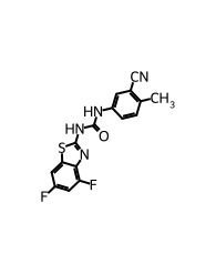 Cc1ccc(NC(=O)Nc2nc3c(F)cc(F)cc3s2)cc1C#N